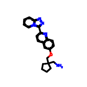 NCC1(COc2ccc3nc(-c4nnc5ccccn45)ccc3c2)CCCC1